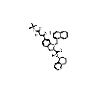 CC(C)(C)OC(=O)NC(=N)c1ccc2c(c1)N(Cc1cccc3ccccc13)C(C(=O)N[C@H]1CCCc3ccccc31)C2